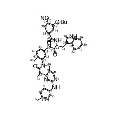 Cc1ccc(Nc2ncc3c(n2)N(C)C(=O)N(c2cc(NC(=O)[C@H](Cc4c[nH]c5ccccc45)NC(=O)c4ccc([N+](=O)[O-])c(OCC(C)C)c4)ccc2C)C3)cn1